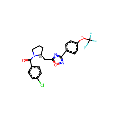 O=C(c1ccc(Cl)cc1)N1CCC[C@H]1Cc1nc(-c2ccc(OC(F)(F)F)cc2)no1